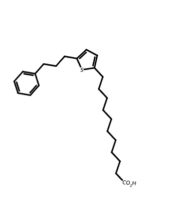 O=C(O)CCCCCCCCCCc1ccc(CCCc2ccccc2)s1